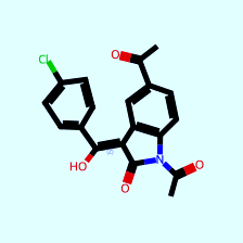 CC(=O)c1ccc2c(c1)/C(=C(/O)c1ccc(Cl)cc1)C(=O)N2C(C)=O